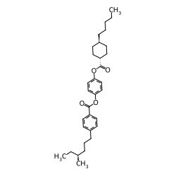 CCCCC[C@H]1CC[C@H](C(=O)Oc2ccc(OC(=O)c3ccc(CCC[C@@H](C)CC)cc3)cc2)CC1